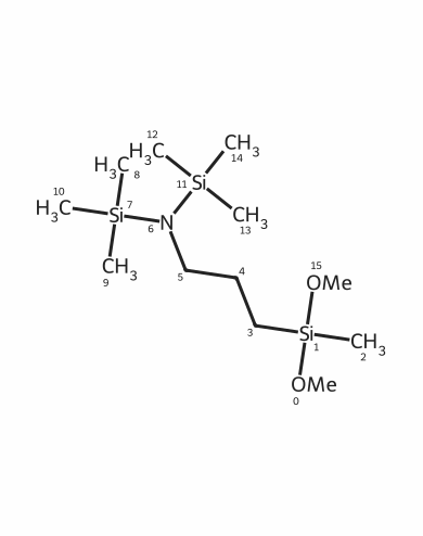 CO[Si](C)(CCCN([Si](C)(C)C)[Si](C)(C)C)OC